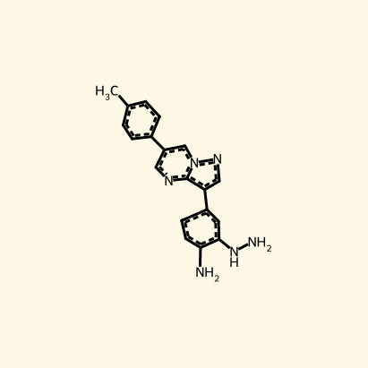 Cc1ccc(-c2cnc3c(-c4ccc(N)c(NN)c4)cnn3c2)cc1